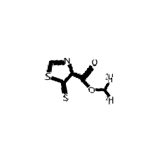 [2H]C([2H])OC(=O)C1N=CSC1=S